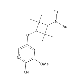 [2H]N(C(C)=O)C1C(C)(C)C(Oc2cnc(C#N)c(OC)c2)C1(C)C